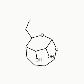 OC1C2OCCCCC(C(CI)O2)C1O